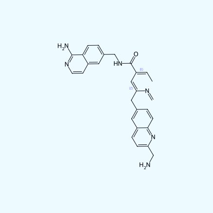 C=N/C(=C\C(=C/C)C(=O)NCc1ccc2c(N)nccc2c1)Cc1ccc2nc(CN)ccc2c1